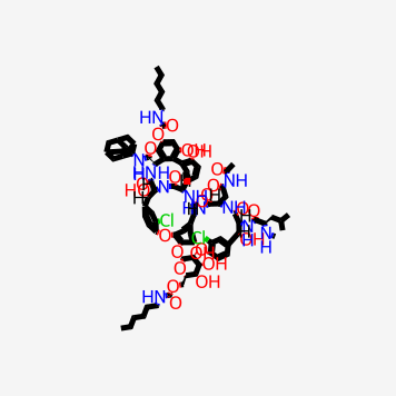 CCCCCCNC(=O)OC[C@H]1O[C@@H](Oc2c3cc4cc2Oc2ccc(cc2Cl)[C@@H](O)[C@@H](NC(=O)[C@@H](CC(C)C)NC)C(=O)N[C@@H](CC(=O)NC(C)=O)C(=O)N[C@H]4C(=O)N[C@H]2C(=O)N[C@H](C(=O)N[C@H](C(=O)NC4C5CC6CC(C5)CC4C6)c4cc(OC(=O)NCCCCCC)cc(O)c4-c4cc2ccc4O)[C@H](O)c2ccc(c(Cl)c2)O3)[C@H](O)[C@@H](O)[C@@H]1O